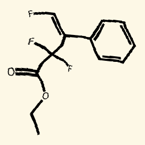 CCOC(=O)C(F)(F)C(=CF)c1ccccc1